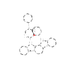 c1ccc(-c2cnc(-n3c4ccccc4c4ccc5c6ccccc6n(-c6ccccc6)c5c43)cn2)cc1